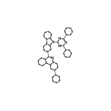 c1ccc(-c2ccc3nc(-c4ccc5c6ccccc6n(-c6nc(-c7ccccc7)nc(-c7ccccc7)n6)c5c4)c4ccccc4c3c2)cc1